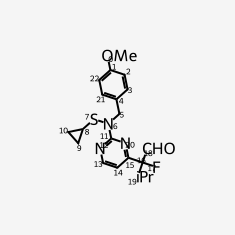 COc1ccc(CN(SC2CC2)c2nccc(C(F)(C=O)C(C)C)n2)cc1